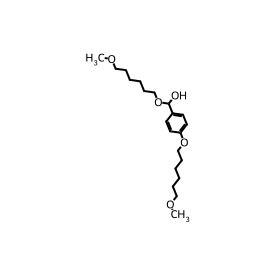 COCCCCCCOc1ccc(C(O)OCCCCCCOC)cc1